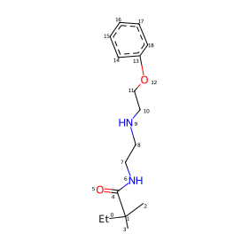 CCC(C)(C)C(=O)NCCNCCOc1ccccc1